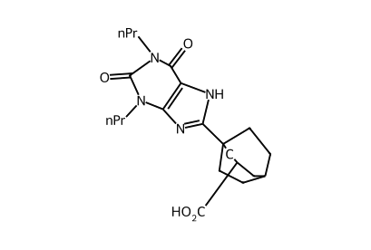 CCCn1c(=O)c2[nH]c(C34CCC(CC3)CC(C(=O)O)C4)nc2n(CCC)c1=O